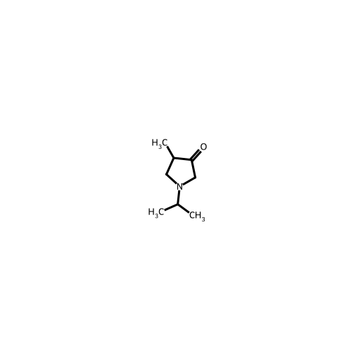 CC1CN(C(C)C)CC1=O